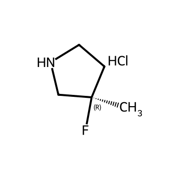 C[C@@]1(F)CCNC1.Cl